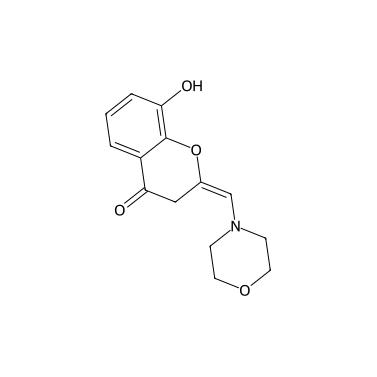 O=C1CC(=CN2CCOCC2)Oc2c(O)cccc21